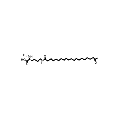 CC(=O)CCCCCCCCCCCCCCCCCCC(=O)NCCCC[C@H](NP)C(=O)O